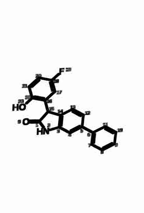 O=C1Nc2cc(-c3ccccc3)ccc2C1c1cc(F)ccc1O